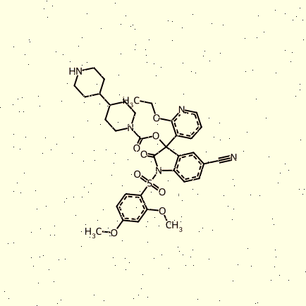 CCOc1ncccc1C1(OC(=O)N2CCC(C3CCNCC3)CC2)C(=O)N(S(=O)(=O)c2ccc(OC)cc2OC)c2ccc(C#N)cc21